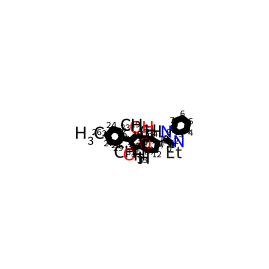 CCc1nc2ccccc2nc1[C@@H]1C[C@@H]2O[C@H]1[C@@]1(C)C(O)=C(c3c(C)cc(C)cc3C)C(=O)[C@@H]21